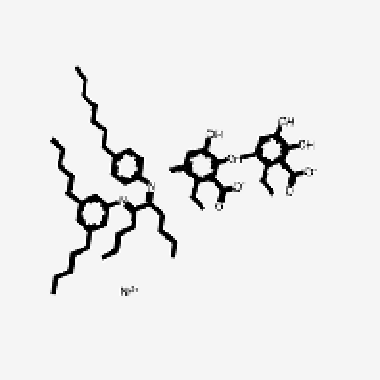 CCCCCCCc1ccc(N=C(CCCC)C(CCCC)=Nc2cc(CCCCC)cc(CCCCC)c2)cc1.CCc1c(C)cc(O)c(O)c1C(=O)[O-].CCc1c(C)cc(O)c(O)c1C(=O)[O-].[Ni+2]